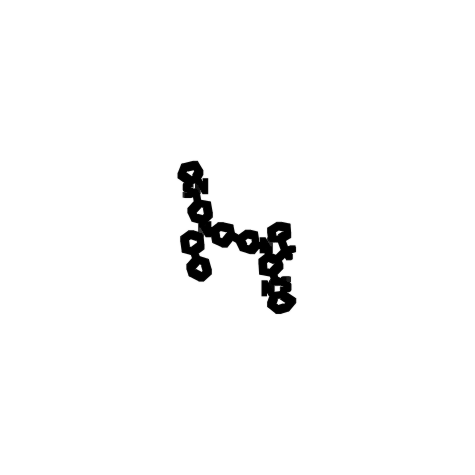 CC1(C)c2ccccc2N(c2ccc(-c3ccc(N(c4ccc(-c5nc6ccccc6s5)cc4)c4cccc(-c5ccccc5)c4)cc3)cc2)c2ccc(-c3nc4ccccc4s3)cc21